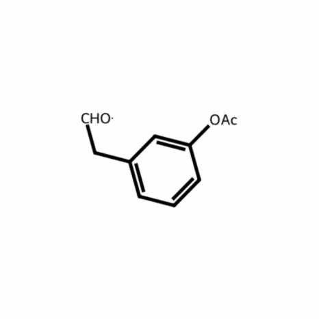 CC(=O)Oc1cccc(C[C]=O)c1